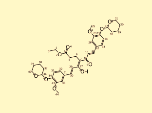 CCOC(=O)CC/C(C(=O)/C=C/c1ccc(OC2CCCCO2)c(OC)c1)=C(O)\C=C\c1ccc(OC2CCCCO2)c(OC)c1